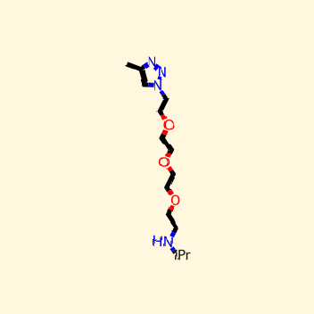 Cc1cn(CCOCCOCCOCCNC(C)C)nn1